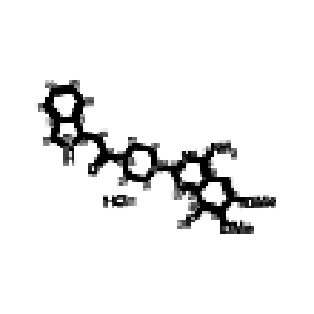 COc1cc2c(N)nc(N3CCN(C(=O)CC4NCc5ccccc54)CC3)nc2c(F)c1OC.Cl